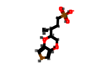 O=S(=O)([O-])CCCC1COc2cscc2O1.[Na+]